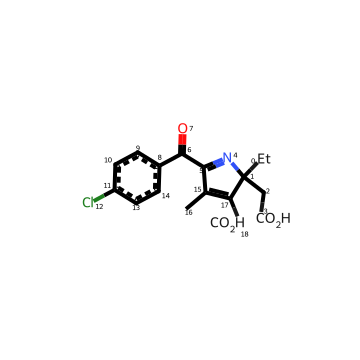 CCC1(CC(=O)O)N=C(C(=O)c2ccc(Cl)cc2)C(C)=C1C(=O)O